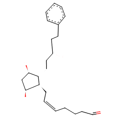 O=CCCC/C=C\C[C@@H]1[C@@H](CC[C@@H](O)CCc2ccccc2)[C@H](O)C[C@@H]1O